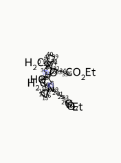 C=C1C(/C=C2\C(=O)C(/C=c3\c(=C)c4ccccc4n3CCCCCCOOCC)=C2O)=[N+](CCCCCC(=O)OCC)c2ccccc21